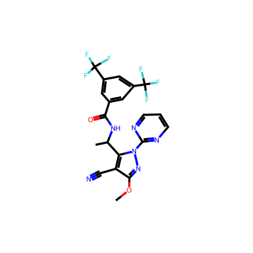 COc1nn(-c2ncccn2)c(C(C)NC(=O)c2cc(C(F)(F)F)cc(C(F)(F)F)c2)c1C#N